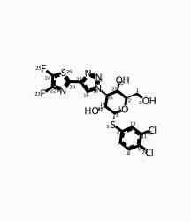 OC[C@H]1O[C@H](Sc2ccc(Cl)c(Cl)c2)[C@H](O)[C@@H](n2cc(-c3nc(F)c(F)s3)nn2)[C@H]1O